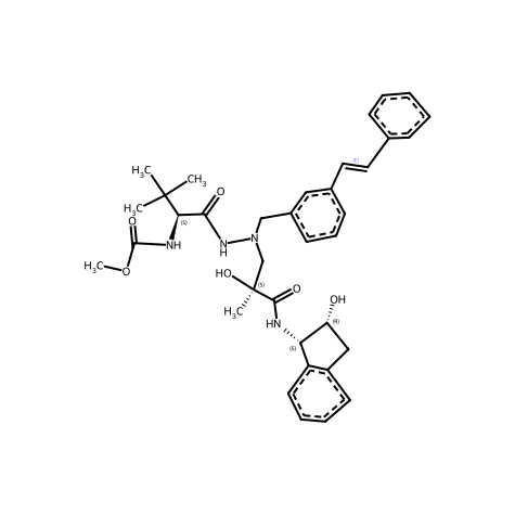 COC(=O)N[C@H](C(=O)NN(Cc1cccc(/C=C/c2ccccc2)c1)C[C@](C)(O)C(=O)N[C@H]1c2ccccc2C[C@H]1O)C(C)(C)C